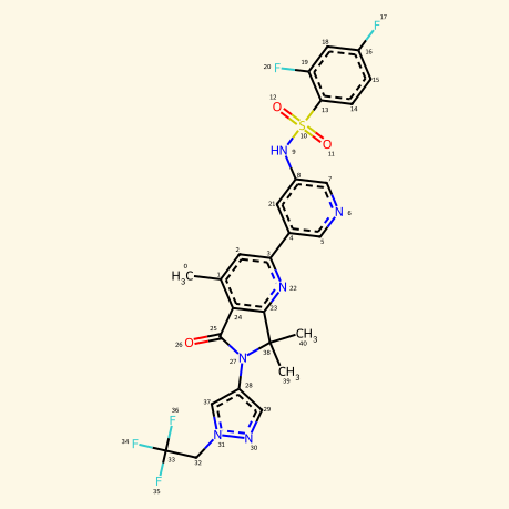 Cc1cc(-c2cncc(NS(=O)(=O)c3ccc(F)cc3F)c2)nc2c1C(=O)N(c1cnn(CC(F)(F)F)c1)C2(C)C